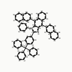 c1ccc(-n2c(-c3ccc(C(c4ccccc4)(c4ccccc4)c4ccccc4)cc3)nc3c(-c4ccc5ccccc5c4)c4ccccc4c(-c4ccc5ccccc5c4)c32)cc1